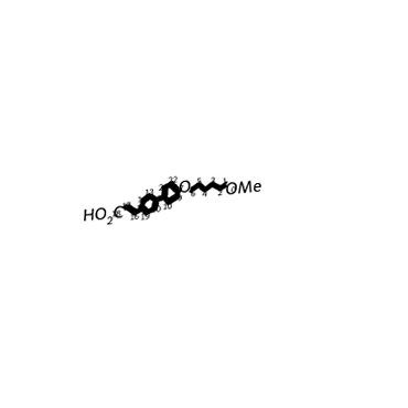 COCCCCCCOc1ccc(-c2ccc(C=CC(=O)O)cc2)cc1